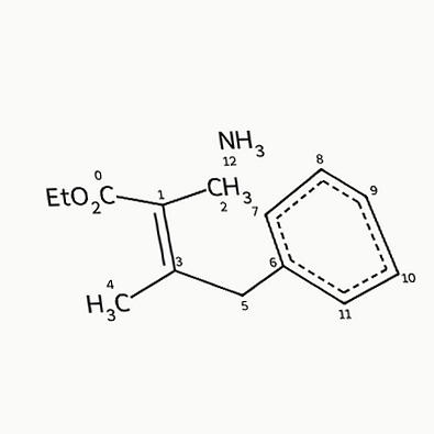 CCOC(=O)C(C)=C(C)Cc1ccccc1.N